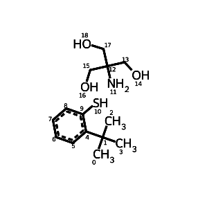 CC(C)(C)c1ccccc1S.NC(CO)(CO)CO